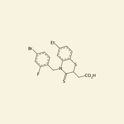 CCc1ccc2c(c1)N(Cc1ccc(Br)cc1F)C(=S)C(CC(=O)O)S2